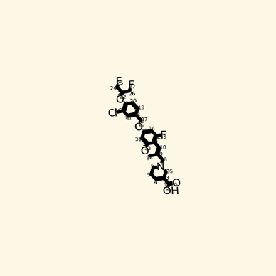 O=C(O)C1=CCCN(CC2=Cc3c(F)cc(OCc4ccc(OC(CF)CF)c(Cl)c4)cc3OC2)C1